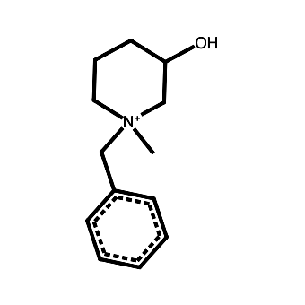 C[N+]1(Cc2ccccc2)CCCC(O)C1